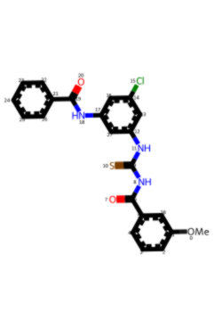 COc1cccc(C(=O)NC(=S)Nc2cc(Cl)cc(NC(=O)c3ccccc3)c2)c1